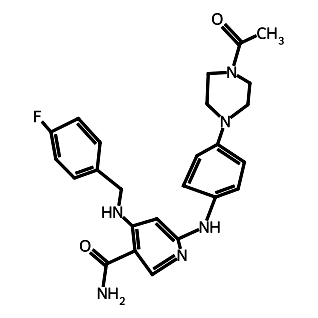 CC(=O)N1CCN(c2ccc(Nc3cc(NCc4ccc(F)cc4)c(C(N)=O)cn3)cc2)CC1